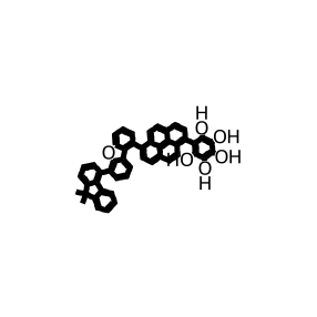 CC1(C)c2ccccc2-c2c(-c3cccc4c3oc3cccc(-c5ccc6ccc7c(-c8c(O)c(O)c(O)c(O)c8O)ccc8ccc5c6c87)c34)cccc21